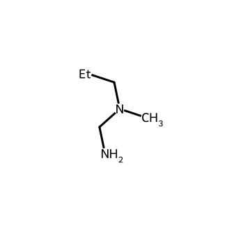 CCCN(C)CN